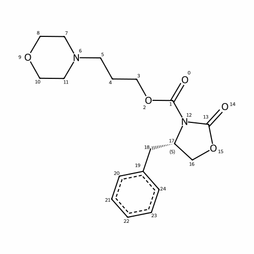 O=C(OCCCN1CCOCC1)N1C(=O)OC[C@@H]1Cc1ccccc1